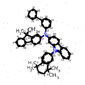 CC1(C)CCC(C)(C)c2cc(-n3c4ccccc4c4ccc(N(c5cccc(-c6ccccc6)c5)c5ccc6c(c5)C(C)(C)c5ccccc5-6)cc43)ccc21